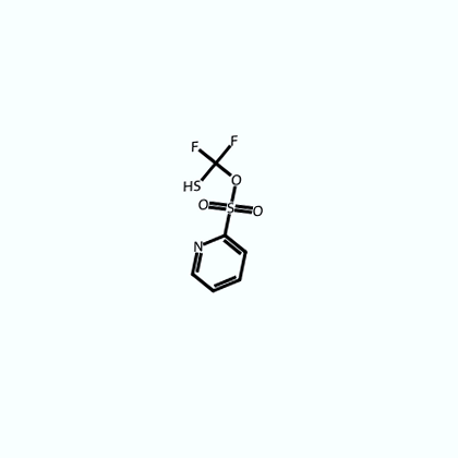 O=S(=O)(OC(F)(F)S)c1ccccn1